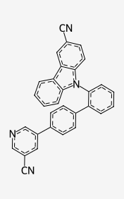 N#Cc1cncc(-c2ccc(-c3ccccc3-n3c4ccccc4c4cc(C#N)ccc43)cc2)c1